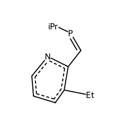 CCc1cccnc1/C=P\C(C)C